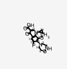 COc1c(N2CCNOCC2)c(F)cc2c(=O)c(C(=O)O)cn(C3CC3)c12